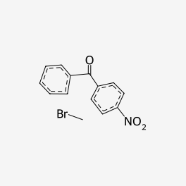 CBr.O=C(c1ccccc1)c1ccc([N+](=O)[O-])cc1